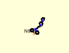 N#Cc1ccc2c(c1)Sc1ccccc1N2CCCCN1CCC(N2CCCC2)CC1